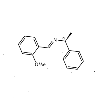 COc1ccccc1C=N[C@@H](C)c1ccccc1